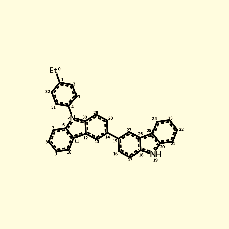 CCc1ccc(-n2c3ccccc3c3cc(-c4ccc5[nH]c6ccccc6c5c4)ccc32)cc1